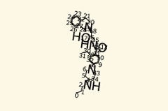 CCCNC1CCN(c2ccc(C(=O)NCC(O)CN3CCc4ccccc4C3)c(CC)c2)CC1